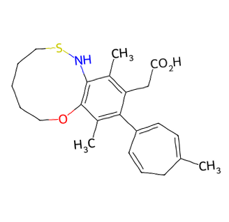 CC1=CC=C(c2c(C)c3c(c(C)c2CC(=O)O)NSCCCCCO3)C=CC1